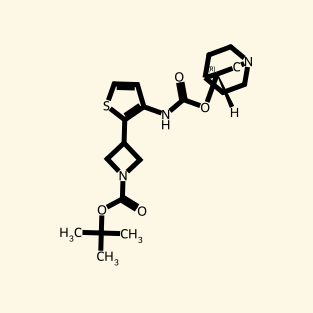 CC(C)(C)OC(=O)N1CC(c2sccc2NC(=O)O[C@H]2CN3CCC2CC3)C1